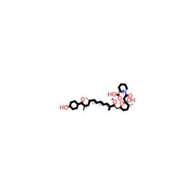 CO[C@@H](C[C@@H]1CC[C@@H](C)[C@](O)(CC(=O)N2CCCC[C@H]2C(=O)O)O1)/C(C)=C/C=C/C=C/[C@@H](C)C[C@@H](C)C(=O)C1CCC(O)CC1